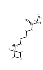 CC1(NCCCCCC(=O)NO)CCC1